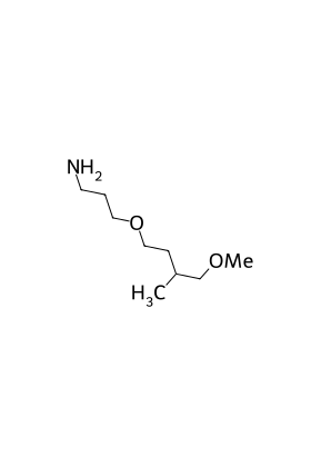 COCC(C)CCOCCCN